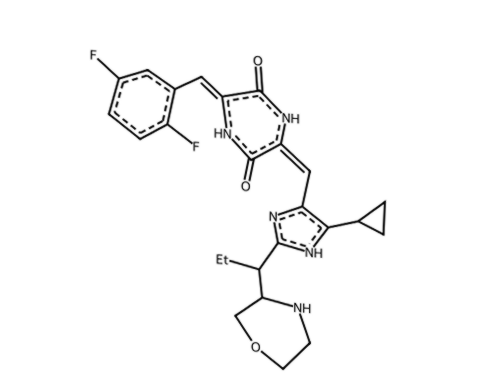 CCC(c1nc(C=c2[nH]c(=O)c(=Cc3cc(F)ccc3F)[nH]c2=O)c(C2CC2)[nH]1)C1COCCN1